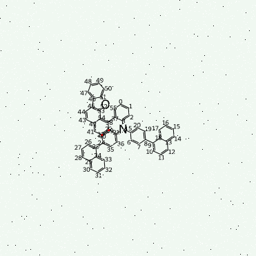 c1ccc(N(c2ccc(-c3cccc4ccccc34)cc2)c2ccc(-c3cccc4ccccc34)cc2)c(-c2cccc3ccc4c5ccccc5oc4c23)c1